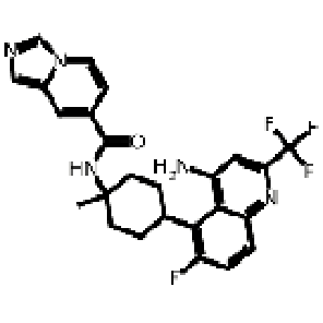 CC1(NC(=O)c2ccn3cncc3c2)CCC(c2c(F)ccc3nc(C(F)(F)F)cc(N)c23)CC1